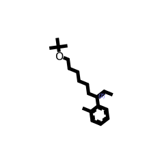 C/C=C(/CCCCCCOC(C)(C)C)c1ccccc1C